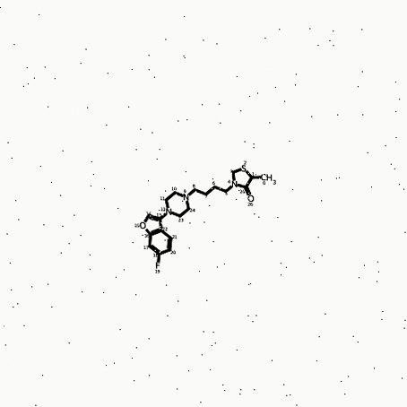 CC1SCN(CCCCN2CCN(c3coc4cc(F)ccc34)CC2)C1=O